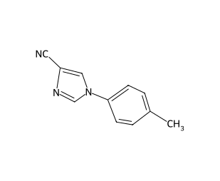 Cc1ccc(-n2cnc(C#N)c2)cc1